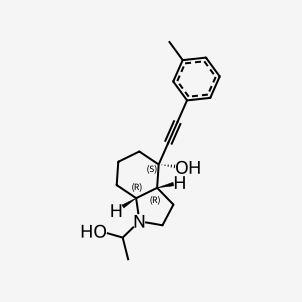 Cc1cccc(C#C[C@]2(O)CCC[C@@H]3[C@H]2CCN3C(C)O)c1